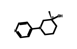 C[C@]1(O)CCCN(c2ccncc2)C1